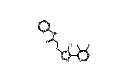 CCn1c(SCC(=O)Nc2ccccc2)nnc1-c1nccc(F)c1C